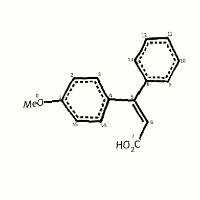 COc1ccc(/C(=C\C(=O)O)c2ccccc2)cc1